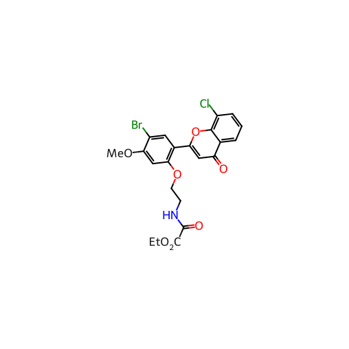 CCOC(=O)C(=O)NCCOc1cc(OC)c(Br)cc1-c1cc(=O)c2cccc(Cl)c2o1